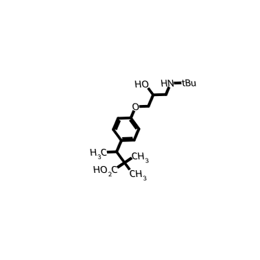 CC(c1ccc(OCC(O)CNC(C)(C)C)cc1)C(C)(C)C(=O)O